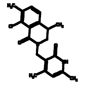 Cc1cc(C)c(CN2CC(C)c3ccc(C)c(Cl)c3C2=O)c(=O)[nH]1